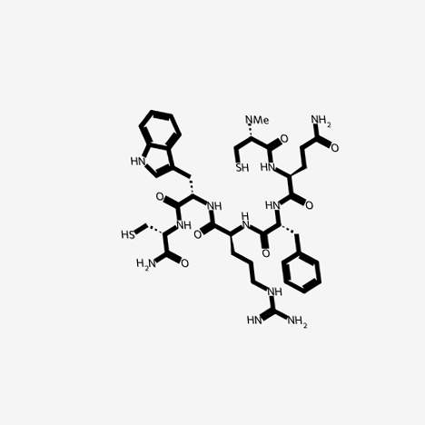 CN[C@@H](CS)C(=O)N[C@@H](CCC(N)=O)C(=O)N[C@H](Cc1ccccc1)C(=O)N[C@@H](CCCNC(=N)N)C(=O)N[C@@H](Cc1c[nH]c2ccccc12)C(=O)N[C@@H](CS)C(N)=O